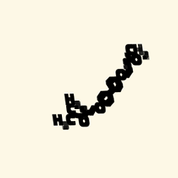 C=CC(=O)S/C=C\Oc1ccc(-c2ccc(OCCSC(=O)C(=C)C)cc2)cc1